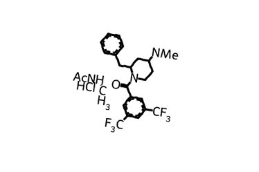 CNC(C)=O.CNC1CCN(C(=O)c2cc(C(F)(F)F)cc(C(F)(F)F)c2)C(Cc2ccccc2)C1.Cl